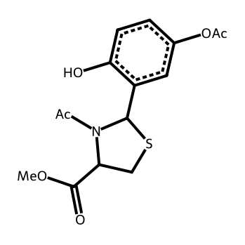 COC(=O)C1CSC(c2cc(OC(C)=O)ccc2O)N1C(C)=O